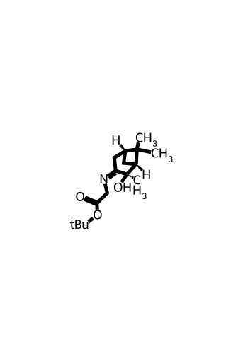 CC(C)(C)OC(=O)C/N=C1/C[C@H]2C[C@H](C2(C)C)[C@@]1(C)O